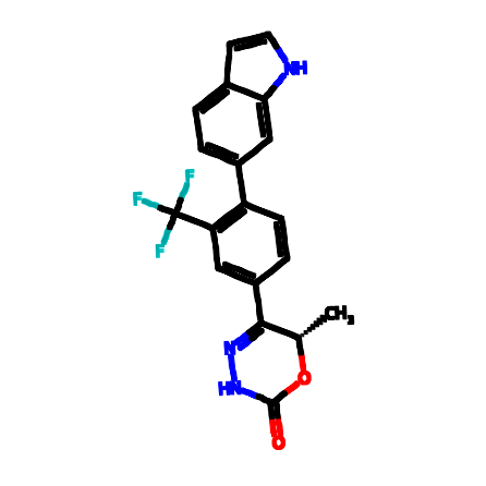 C[C@@H]1OC(=O)NN=C1c1ccc(-c2ccc3cc[nH]c3c2)c(C(F)(F)F)c1